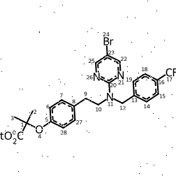 CCOC(=O)C(C)(C)Oc1ccc(CCN(Cc2ccc(C(F)(F)F)cc2)c2ncc(Br)cn2)cc1